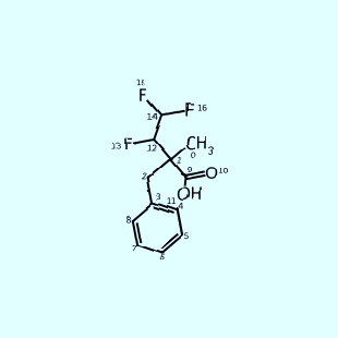 CC(Cc1ccccc1)(C(=O)O)C(F)C(F)F